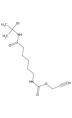 C#CCOC(=O)NCCCCCC(=O)NC(C)(C)[CH]C